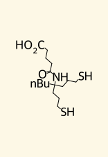 CCCCC(CCCS)(CCCS)NC(=O)CCCC(=O)O